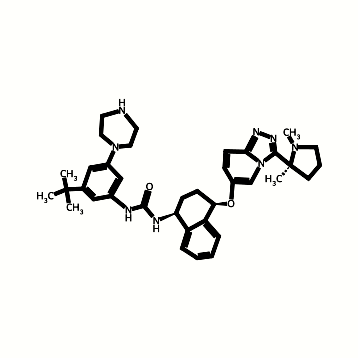 CN1CCC[C@@]1(C)c1nnc2ccc(O[C@@H]3CC[C@H](NC(=O)Nc4cc(N5CCNCC5)cc(C(C)(C)C)c4)c4ccccc43)cn12